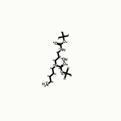 CC(C)(C)OC(=O)NC[C@H](O)CN(CCCCN)C(=O)OC(C)(C)C